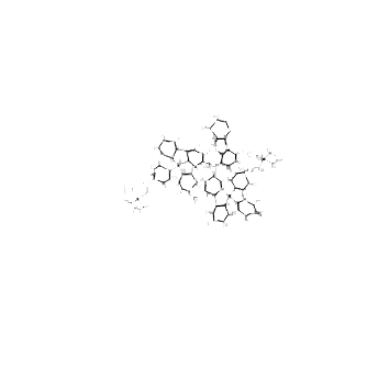 CCC1(COc2ccc(C3(c4ccc(F)cc4)c4ccccc4-c4ccc(N(c5ccc6c(c5)C(c5ccc(F)cc5)(c5ccc(OCC7(CC)COC7)cc5)c5ccccc5-6)c5cccc6c5oc5ccccc56)cc43)cc2)COC1